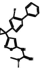 CN(C)C(=N)Nc1cc(C2(c3ccc(-c4ccccc4)c(F)c3)CC2)no1